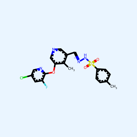 Cc1ccc(S(=O)(=O)N/N=C/c2cncc(Oc3ncc(Cl)cc3F)c2C)cc1